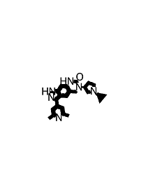 Cc1cc(-c2n[nH]c3cc4c(cc23)CN([C@H]2CCN(C3CC3)C2)C(=O)N4)cc(C)n1